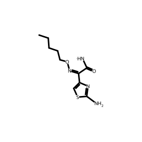 CCCCCON=C(C([NH])=O)c1csc(N)n1